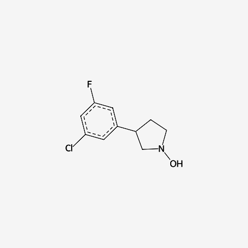 ON1CCC(c2cc(F)cc(Cl)c2)C1